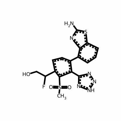 CS(=O)(=O)c1c(C(F)CO)ccc(-c2cccc3sc(N)nc23)c1-c1nn[nH]n1